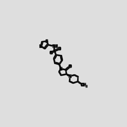 CC1CCN([C@H]2CCN(c3ccc(S(=O)(=O)Nc4cncs4)cc3)C2=O)CC1